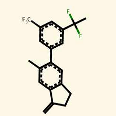 C=C1CCc2cc(-c3cc(C(C)(F)F)cc(C(F)(F)F)c3)c(C)cc21